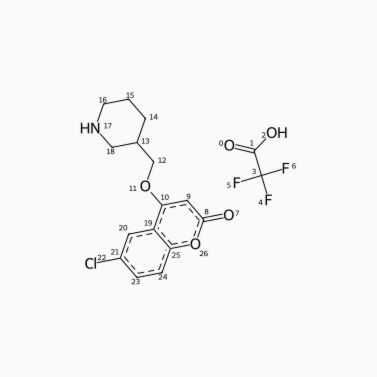 O=C(O)C(F)(F)F.O=c1cc(OCC2CCCNC2)c2cc(Cl)ccc2o1